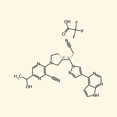 CC(O)c1cnc(N2CC[C@H]([C@H](CC#N)n3cc(-c4ncnc5[nH]ccc45)cn3)C2)c(C#N)n1.O=C(O)C(F)(F)F